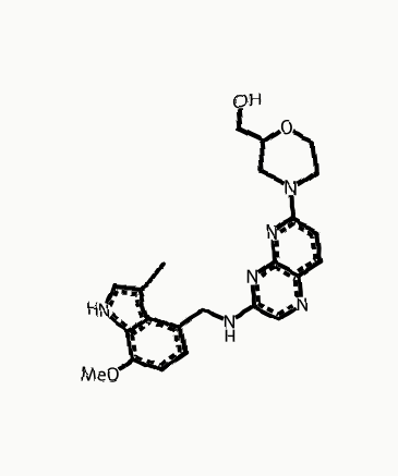 COc1ccc(CNc2cnc3ccc(N4CCOC(CO)C4)nc3n2)c2c(C)c[nH]c12